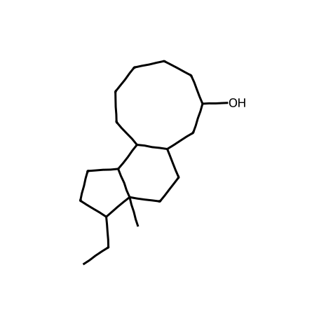 CCC1CCC2C3CCCCCC(O)CC3CCC12C